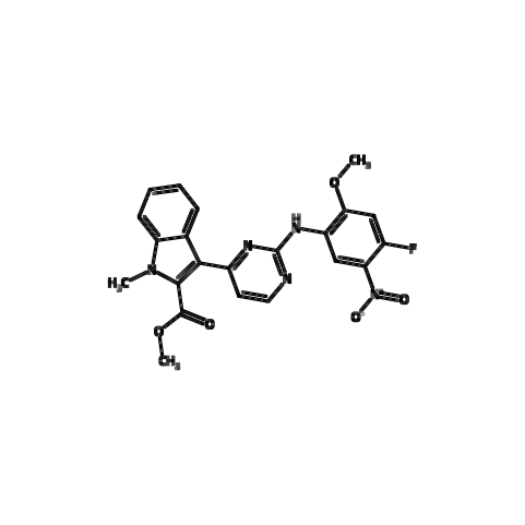 COC(=O)c1c(-c2ccnc(Nc3cc([N+](=O)[O-])c(F)cc3OC)n2)c2ccccc2n1C